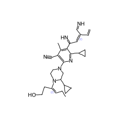 C=C/C(C=N)=C/C(=N)c1c(C2CC2)nc(N2CCN(/C(=C\CC)CCO)C(C3CC3)C2)c(C#N)c1C